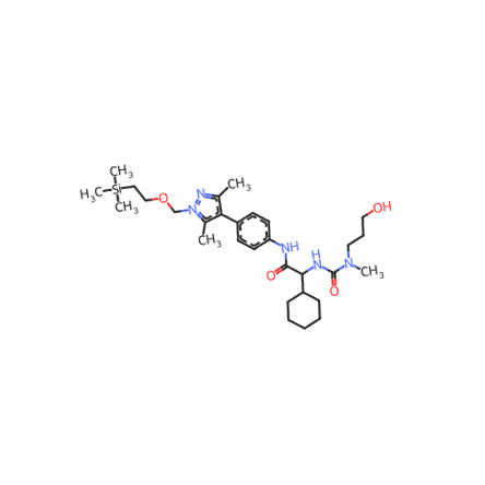 Cc1nn(COCC[Si](C)(C)C)c(C)c1-c1ccc(NC(=O)C(NC(=O)N(C)CCCO)C2CCCCC2)cc1